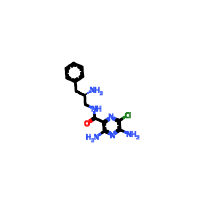 Nc1nc(N)c(C(=O)NC[C@@H](N)Cc2ccccc2)nc1Cl